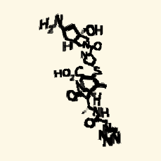 CC1C(S[C@@H]2CN=C(C(=O)N3C[C@H]4C[C@@H](N)C[C@@]4(CO)C3)C2)=C(C(=O)O)N2C(=O)[C@H]([C@@H](C)NC(=O)Cn3cnnn3)[C@@H]12